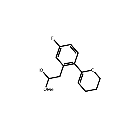 COC(O)Cc1cc(F)ccc1C1=CCCCO1